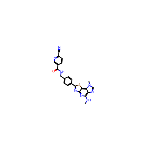 CNc1nc2nc(-c3ccc(CNC(=O)c4ccc(C#N)nc4)cc3)sc2c2c1ncn2C